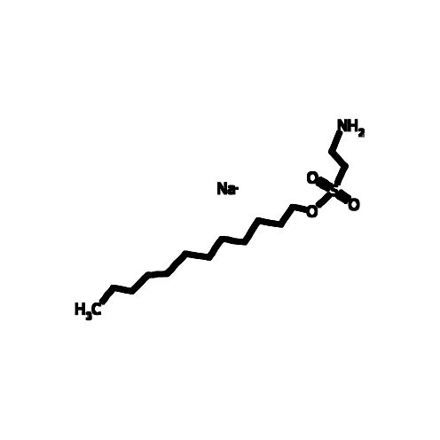 CCCCCCCCCCCCOS(=O)(=O)CCN.[Na]